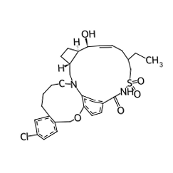 CCC1C/C=C/[C@H](O)[C@@H]2CC[C@H]2CN2CCCCc3cc(Cl)ccc3COc3ccc(cc32)C(=O)NS(=O)(=O)C1